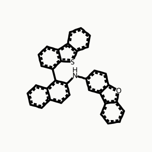 c1ccc2c(-c3cccc4c3sc3ccccc34)c(Nc3ccc4oc5ccccc5c4c3)ccc2c1